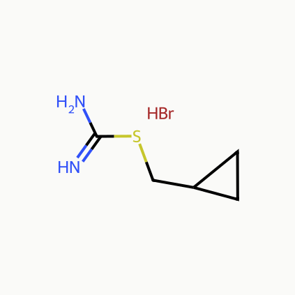 Br.N=C(N)SCC1CC1